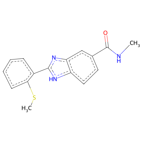 CNC(=O)c1ccc2[nH]c(-c3ccccc3SC)nc2c1